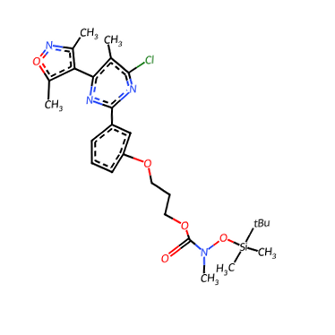 Cc1noc(C)c1-c1nc(-c2cccc(OCCCOC(=O)N(C)O[Si](C)(C)C(C)(C)C)c2)nc(Cl)c1C